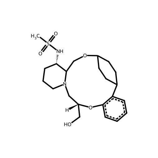 CS(=O)(=O)N[C@H]1CCCN2C[C@@H](CO)Oc3ccccc3C3CCC(CC3)OCC12